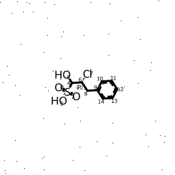 O=S(=O)(O)C(O)[C@H](Cl)Cc1ccccc1